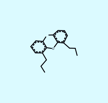 CCCc1cccc(C)c1Oc1c(C)cccc1CCC